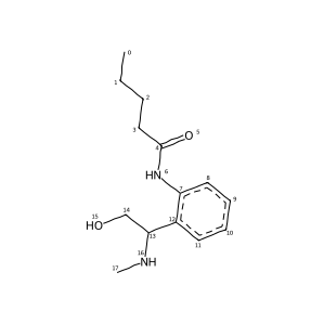 CCCCC(=O)Nc1ccccc1C(CO)NC